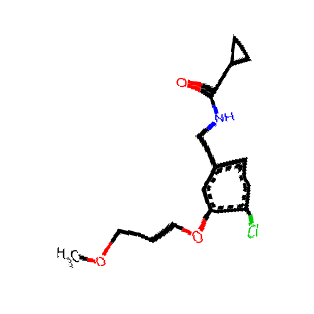 COCCCOc1cc(CNC(=O)C2CC2)ccc1Cl